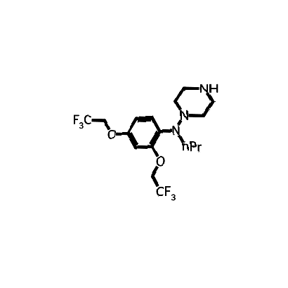 CCCN(c1ccc(OCC(F)(F)F)cc1OCC(F)(F)F)N1CCNCC1